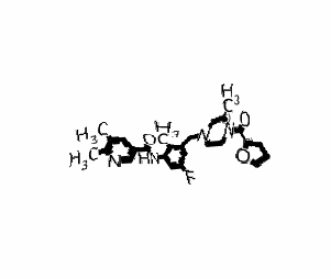 Cc1cc(C(=O)Nc2cc(F)cc(CN3CCN(C(=O)[C@H]4CCCO4)[C@@H](C)C3)c2C)cnc1C